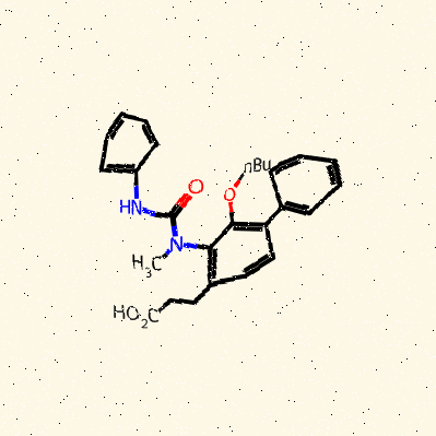 CCCCOc1c(-c2ccccc2)ccc(CCC(=O)O)c1N(C)C(=O)Nc1ccccc1